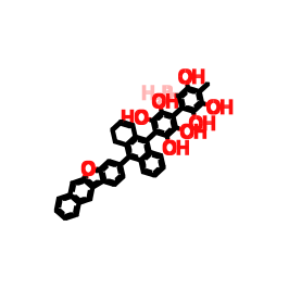 Bc1c(O)c(C)c(O)c(O)c1-c1c(O)c(O)c(-c2c3c(c(-c4ccc5c(c4)oc4cc6ccccc6cc45)c4ccccc24)CCC=C3)c(O)c1O